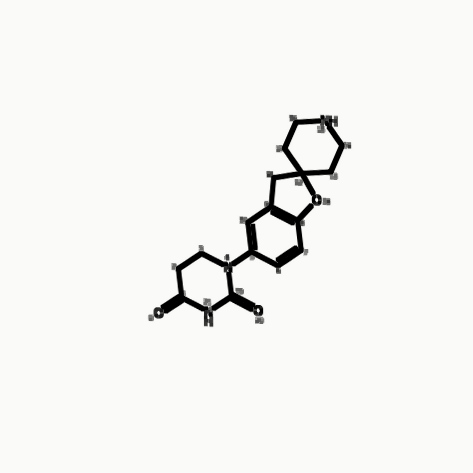 O=C1CCN(c2ccc3c(c2)CC2(CCNCC2)O3)C(=O)N1